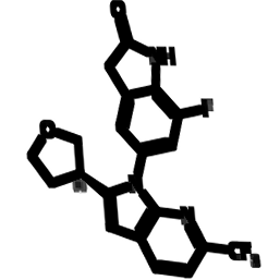 O=C1Cc2cc(-n3c([C@H]4CCOC4)cc4ccc(C(F)(F)F)nc43)cc(F)c2N1